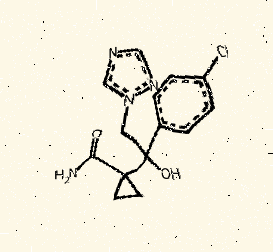 NC(=O)C1(C(O)(Cn2cncn2)c2ccc(Cl)cc2)CC1